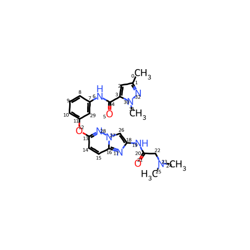 Cc1cc(C(=O)Nc2cccc(Oc3ccc4nc(NC(=O)CN(C)C)cn4n3)c2)n(C)n1